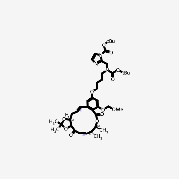 COCOc1cc(OCCCCN(Cc2nccn2C(=O)OC(C)(C)C)C(=O)OC(C)(C)C)cc2c1C(=O)O[C@@H](C)[C@H](C)/C=C\C(=O)C1OC(C)(C)O[C@H]1C/C=C/2